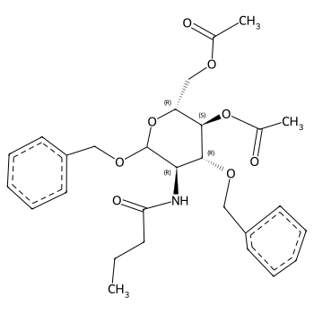 CCCC(=O)N[C@H]1C(OCc2ccccc2)O[C@H](COC(C)=O)[C@@H](OC(C)=O)[C@@H]1OCc1ccccc1